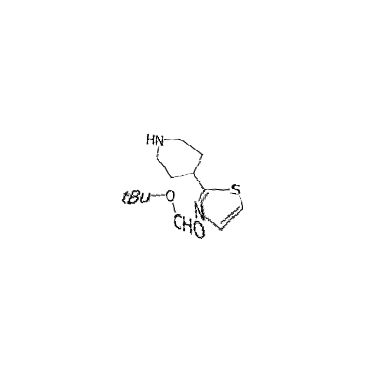 CC(C)(C)OC=O.c1csc(C2CCNCC2)n1